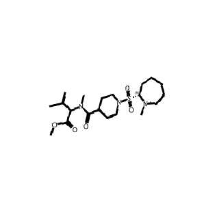 COC(=O)C(C(C)C)N(C)C(=O)C1CCN(S(=O)(=O)[C@@H]2CCCCCN2C)CC1